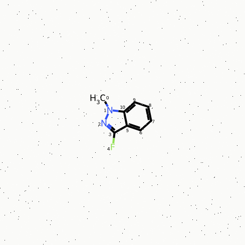 Cn1nc(F)c2ccccc21